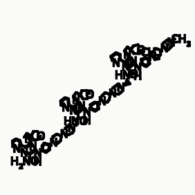 Cc1cc(Nc2nc(N3CCC34CCOCC4)c(-c3ccccn3)nc2C(=O)NC2CC2N2CCN(C3CCN(c4ccc(Nc5nc(N6CCC67CCOCC7)c(-c6ccccn6)nc5C(=O)NCN5CCN(C6CCN(c7ccc(Nc8nc(N9CCC9%10CCOCC%10)c(-c9ccccn9)nc8C(N)=O)cc7)CC6)CC5)cc4)CC3)CC2)ccc1N1CCC(N2CCN(C)CC2)CC1